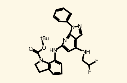 CC(C)(C)OC(=O)N1CCc2cccc(Nc3cc(NCC(F)F)c4cnn(-c5ccccc5)c4n3)c21